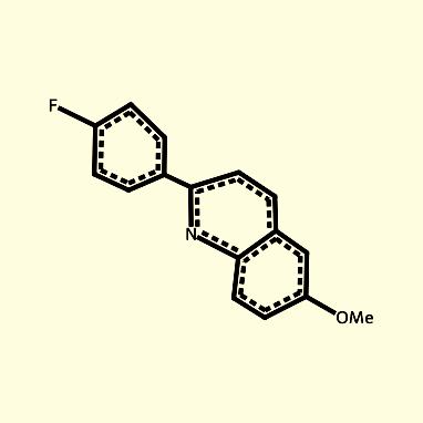 COc1ccc2nc(-c3ccc(F)cc3)ccc2c1